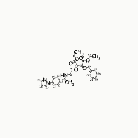 CCOC(=O)[C@H](OCCN[C@H](C)c1ccc(-n2cccn2)cc1)[C@@H](OCc1ccccc1)C(=O)OCC